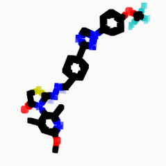 COc1cc(C)c(N2C(=O)CS/C2=N\N=C\c2ccc(-c3ncn(-c4ccc(OC(F)(F)F)cc4)n3)cc2)c(C)n1